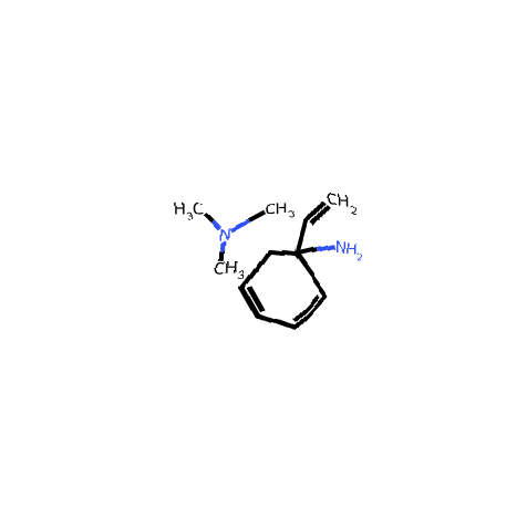 C=CC1(N)C=CC=CC1.CN(C)C